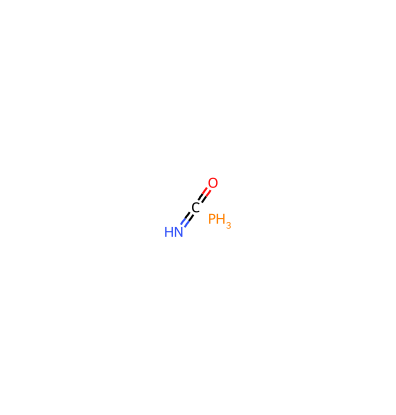 N=C=O.P